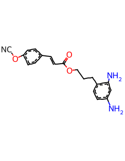 N#COc1ccc(/C=C/C(=O)OCCCc2ccc(N)cc2N)cc1